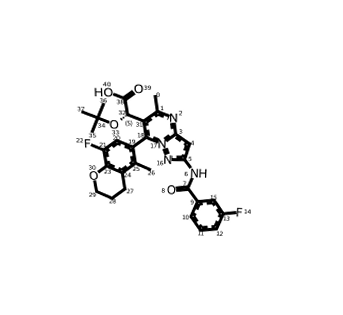 Cc1nc2cc(NC(=O)c3cccc(F)c3)nn2c(-c2cc(F)c3c(c2C)CCCO3)c1[C@H](OC(C)(C)C)C(=O)O